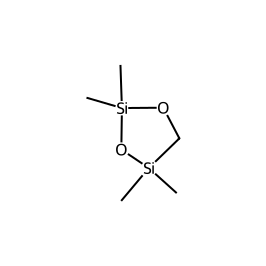 C[Si]1(C)CO[Si](C)(C)O1